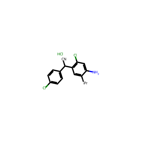 CC(C)c1cc(C(C#N)c2ccc(Cl)cc2)c(Cl)cc1N.Cl